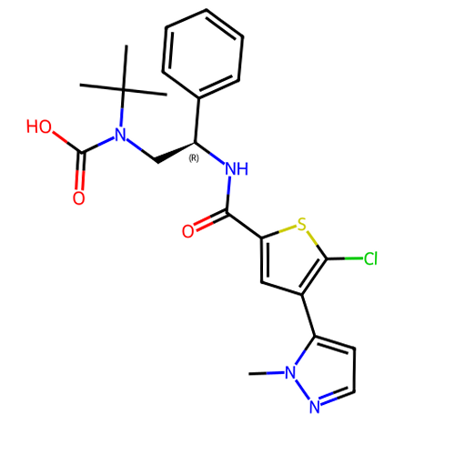 Cn1nccc1-c1cc(C(=O)N[C@@H](CN(C(=O)O)C(C)(C)C)c2ccccc2)sc1Cl